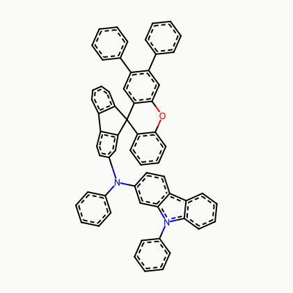 c1ccc(-c2cc3c(cc2-c2ccccc2)C2(c4ccccc4O3)c3ccccc3-c3ccc(N(c4ccccc4)c4ccc5c6ccccc6n(-c6ccccc6)c5c4)cc32)cc1